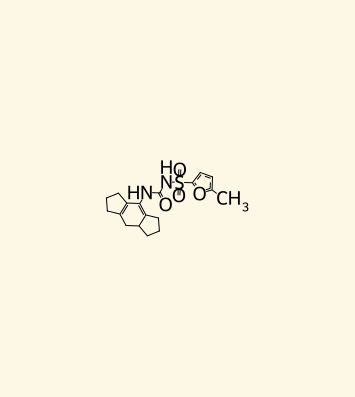 Cc1ccc(S(=O)(=O)NC(=O)NC2=C3CCCC3CC3=C2CCC3)o1